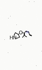 C=C/C=C\C(OC1CCNCC1)=C(C)C